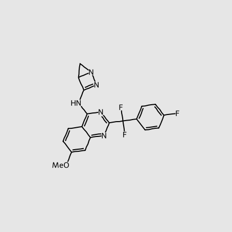 COc1ccc2c(NC3=NN4CC34)nc(C(F)(F)c3ccc(F)cc3)nc2c1